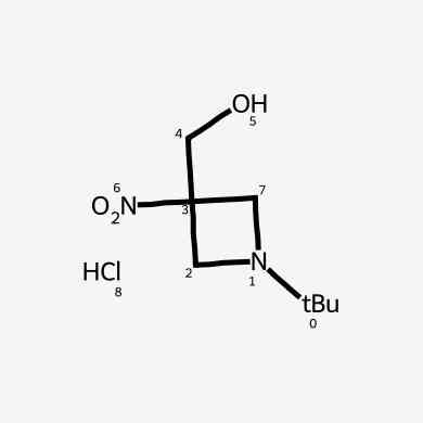 CC(C)(C)N1CC(CO)([N+](=O)[O-])C1.Cl